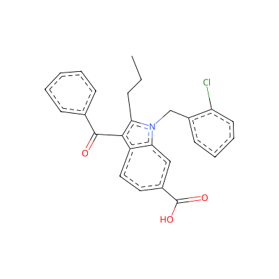 CCCc1c(C(=O)c2ccccc2)c2ccc(C(=O)O)cc2n1Cc1ccccc1Cl